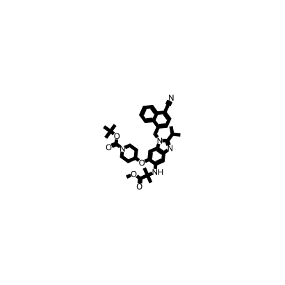 COC(=O)C(C)(C)Nc1cc2nc(C(C)C)n(Cc3ccc(C#N)c4ccccc34)c2cc1OC1CCN(C(=O)OC(C)(C)C)CC1